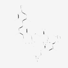 Cc1cc(-c2c(C)cc(F)cc2C)cc([C@@H](CCC(=O)[C@H](CC(C)C)n2nc(CCN(C)C)cc(C)c2=O)CC(=O)O)c1F